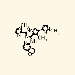 Cc1c(-c2ccn(C)n2)cn2nc(-c3nccn3C)nc(Nc3nccc4c3CCO4)c12